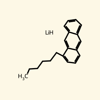 CCCCCCc1cccc2cc3ccccc3cc12.[LiH]